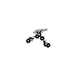 O=C(O)/C(CC(c1ccc(OCc2ccc3ccccc3n2)cc1)c1ccc(OCc2ccc3ccccc3n2)cc1)=N\O.[NaH]